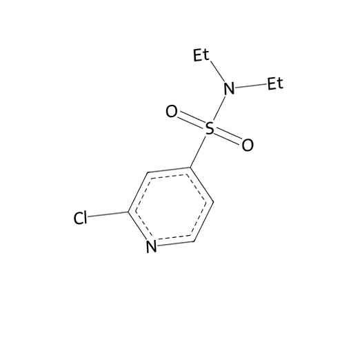 CCN(CC)S(=O)(=O)c1ccnc(Cl)c1